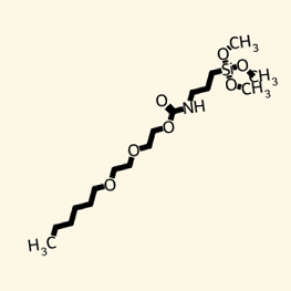 CCCCCCOCCOCCOC(=O)NCCC[Si](OC)(OC)OC